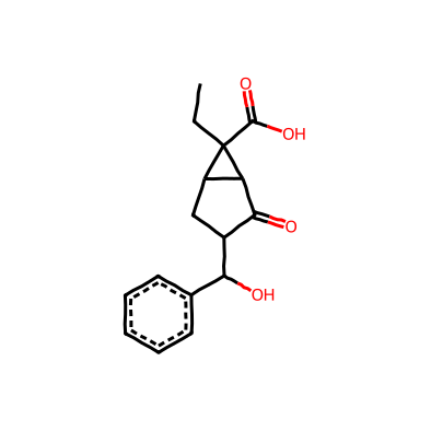 CCC1(C(=O)O)C2CC(C(O)c3ccccc3)C(=O)C21